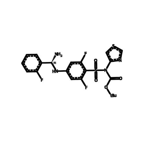 CC(C)(C)OC(=O)N(c1cscn1)S(=O)(=O)c1c(F)cc(N[C@@H](N)c2ccccc2F)cc1F